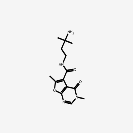 Cc1oc2ncn(C)c(=O)c2c1C(=O)NCCC(C)(C)N